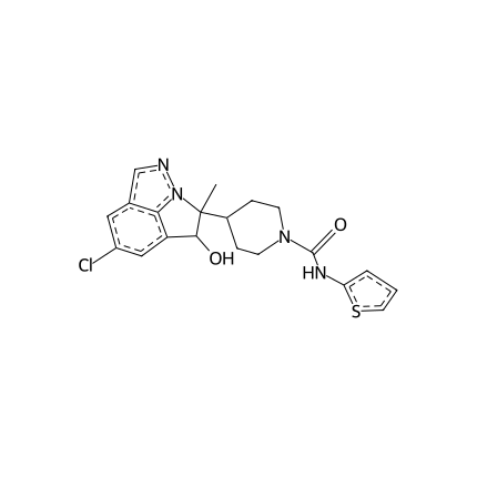 CC1(C2CCN(C(=O)Nc3cccs3)CC2)C(O)c2cc(Cl)cc3cnn1c23